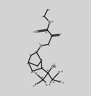 C=C(COC1CC2CC1C(C(O)(C(F)(F)F)C(F)(F)F)C2)C(=O)OCC